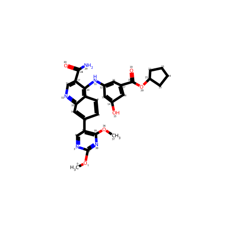 COc1ncc(-c2ccc3c(Nc4cc(O)cc(C(=O)OC5CCCC5)c4)c(C(N)=O)cnc3c2)c(OC)n1